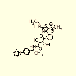 CCNc1nc([C@H]2CCCN2C(=O)[C@H](O)[C@@H](O)C(=O)N[C@H](C)c2ccc(-n3cccn3)cc2)c(S(C)(=O)=O)s1